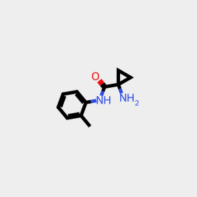 Cc1ccccc1NC(=O)C1(N)CC1